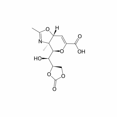 CC1=N[C@@]2(C)[C@@H](C=C(C(=O)O)O[C@H]2[C@H](O)[C@H]2COC(=O)O2)O1